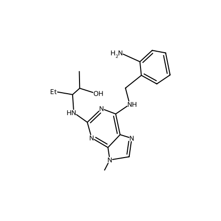 CCC(Nc1nc(NCc2ccccc2N)c2ncn(C)c2n1)C(C)O